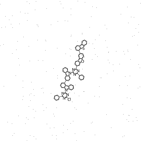 Clc1nc(-c2ccccc2)nc(-n2c3ccccc3c3c(-c4ccc5c(c4)c4ccccc4n5-c4nc(-c5ccccc5)nc(-c5ccc6c(c5)oc5ccc(-c7cccc8c7sc7ccccc78)cc56)n4)cccc32)n1